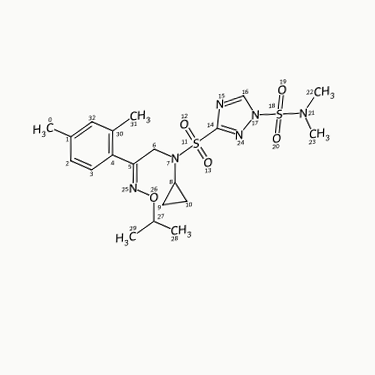 Cc1ccc(/C(CN(C2CC2)S(=O)(=O)c2ncn(S(=O)(=O)N(C)C)n2)=N/OC(C)C)c(C)c1